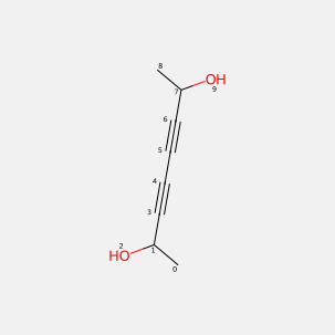 CC(O)C#CC#CC(C)O